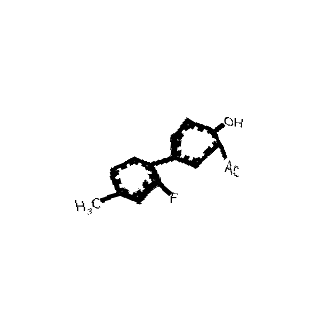 CC(=O)c1cc(-c2ccc(C)cc2F)ccc1O